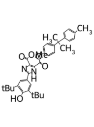 COC(=O)c1nc(-c2cc(C(C)(C)C)c(O)c(C(C)(C)C)c2)[nH]c1C(=O)Oc1ccc(C(C)(C)c2ccc(C)cc2)cc1